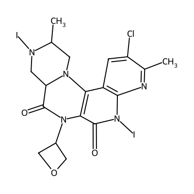 Cc1nc2c(cc1Cl)c1c(c(=O)n2I)N(C2COC2)C(=O)C2CN(I)C(C)CN12